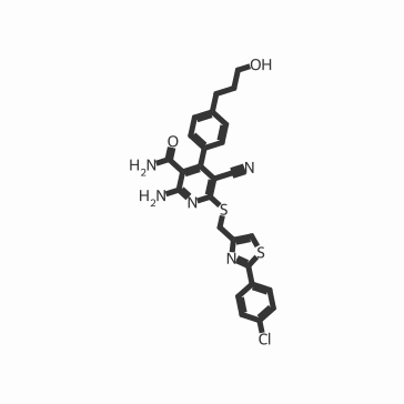 N#Cc1c(SCc2csc(-c3ccc(Cl)cc3)n2)nc(N)c(C(N)=O)c1-c1ccc(CCCO)cc1